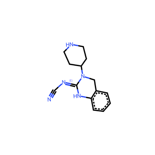 N#C/N=C1\Nc2ccccc2CN1C1CCNCC1